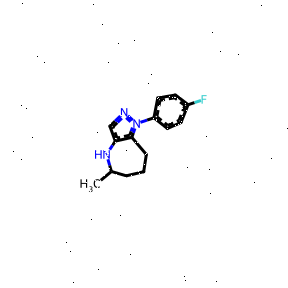 CC1CCCc2c(cnn2-c2ccc(F)cc2)N1